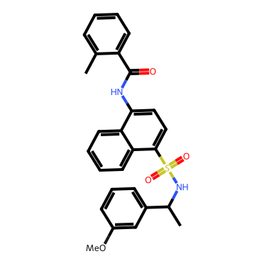 COc1cccc(C(C)NS(=O)(=O)c2ccc(NC(=O)c3ccccc3C)c3ccccc23)c1